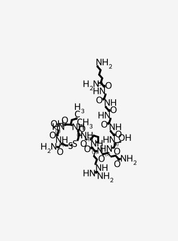 CC(C)CC1NC(=O)[C@@H](NC(=O)[C@@H]2CCCN2C(=O)[C@H](CCCNC(=N)N)NC(=O)[C@H](CCC(N)=O)NC(=O)[C@H](CO)NC(=O)CNC(=O)CNC(=O)CNC(=O)CNC(=O)[C@@H](N)CCCCN)CSSC[C@@H](C(N)=O)NC(=O)[C@H](CO)NC1=O